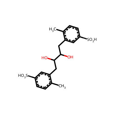 Cc1ccc(S(=O)(=O)O)cc1CC(O)C(O)Cc1cc(S(=O)(=O)O)ccc1C